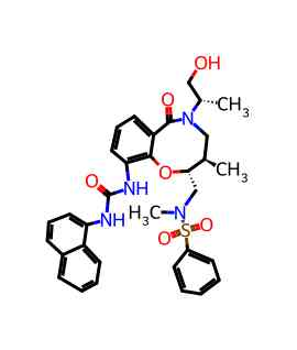 C[C@@H]1CN([C@@H](C)CO)C(=O)c2cccc(NC(=O)Nc3cccc4ccccc34)c2O[C@H]1CN(C)S(=O)(=O)c1ccccc1